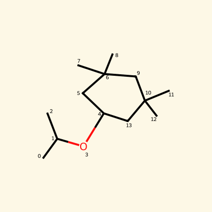 CC(C)OC1CC(C)(C)CC(C)(C)C1